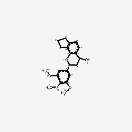 COc1cc([C@@H]2CC(O)c3ccc4c(c3O2)CCC4)cc(OC)c1OC